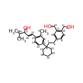 Cc1cc(C2(CCc3ccc(CO)c(CO)c3)CCCCC2)ccc1C=CC(O)C(C)C